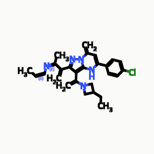 C=C(/C(C)=N\C=C/C)c1nn2c(c1C(=C)N1CC(CC)C1)NC(c1ccc(Cl)cc1)=CC2=C